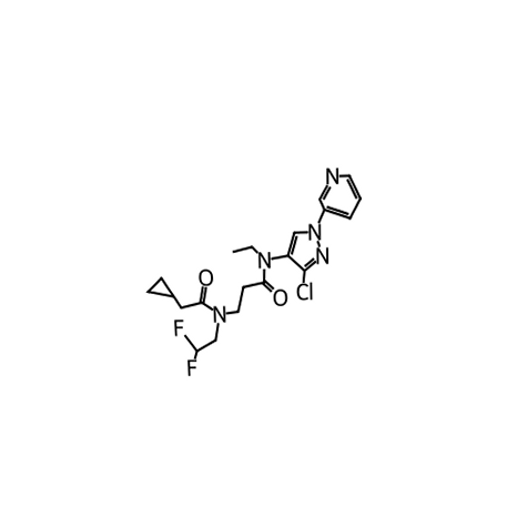 CCN(C(=O)CCN(CC(F)F)C(=O)CC1CC1)c1cn(-c2cccnc2)nc1Cl